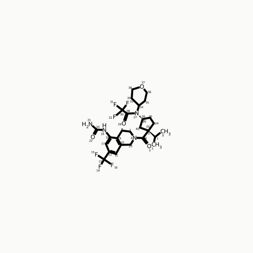 CC(C)[C@]1(C(=O)N2CCc3c(cc(C(F)(F)F)cc3NC(N)=O)C2)CC[C@@H](N(C(=O)C(F)(F)F)C2CCOCC2)C1